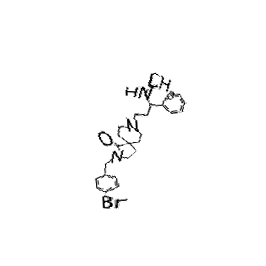 CNC(CCN1CCC2(CC1)CCN(Cc1ccc(Br)cc1)C2=O)c1ccccc1